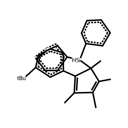 CC1=C(C)C(C)([SiH](c2ccccc2)c2ccccc2)C(c2cccc(C(C)(C)C)c2)=C1C